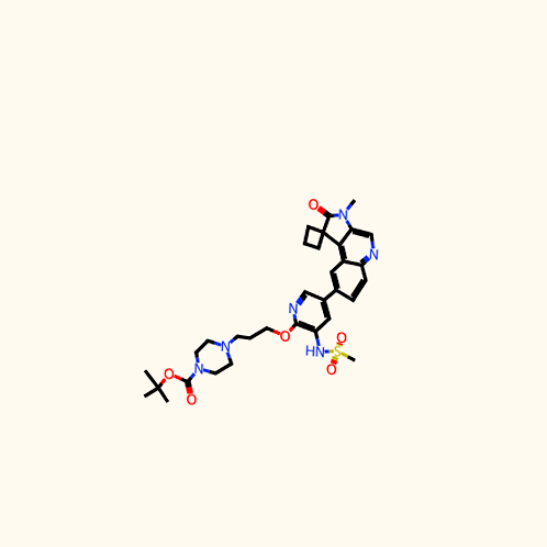 CN1C(=O)C2(CCC2)c2c1cnc1ccc(-c3cnc(OCCCN4CCN(C(=O)OC(C)(C)C)CC4)c(NS(C)(=O)=O)c3)cc21